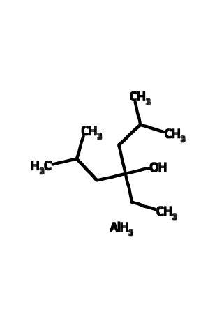 CCC(O)(CC(C)C)CC(C)C.[AlH3]